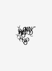 C=CCNC(=O)C(=O)C(CCCC)NC(=O)[C@@H]1C2C(CN1C(=O)C([C@H](CN1CCOC1=O)C(C)C)C(C)(C)C)C2(C)C